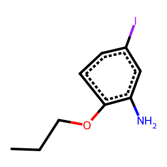 CCCOc1ccc(I)cc1N